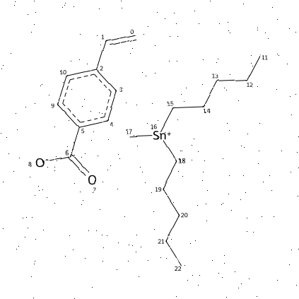 C=Cc1ccc(C(=O)[O-])cc1.CCCC[CH2][Sn+]([CH3])[CH2]CCCC